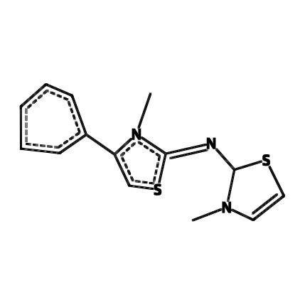 CN1C=CSC1/N=c1\scc(-c2ccccc2)n1C